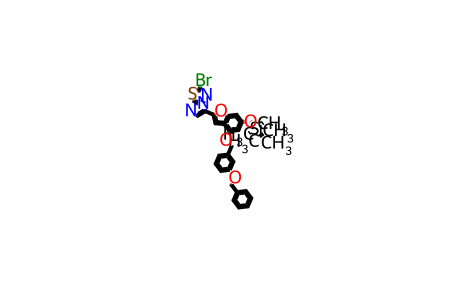 CC(C)(C)[Si](C)(C)Oc1cc(OCc2cccc(OCc3ccccc3)c2)c2cc(-c3cnc4sc(Br)nn34)oc2c1